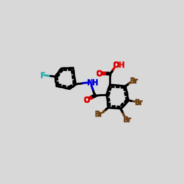 O=C(O)c1c(Br)c(Br)c(Br)c(Br)c1C(=O)Nc1ccc(F)cc1